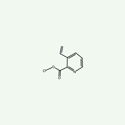 C=Cc1cccnc1C(=O)OCl